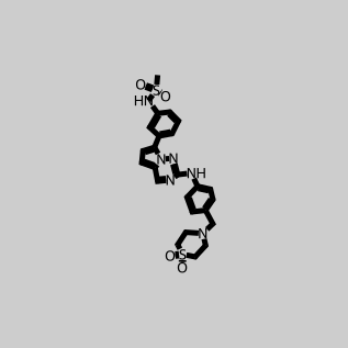 CS(=O)(=O)Nc1cccc(-c2ccc3cnc(Nc4ccc(CN5CCS(=O)(=O)CC5)cc4)nn23)c1